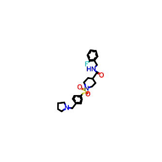 O=C(NCc1ccccc1F)C1CCN(S(=O)(=O)c2ccc(CN3CCCC3)cc2)CC1